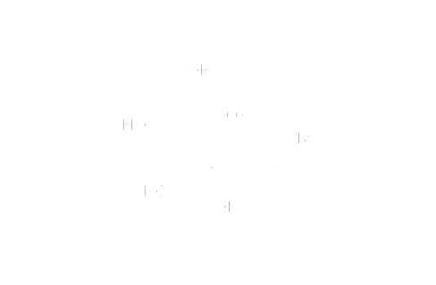 OC1OC(CBr)[C@H](O)[C@H](O)C1O